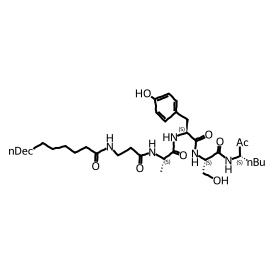 CCCCCCCCCCCCCCCC(=O)NCCC(=O)N[C@@H](C)C(=O)N[C@@H](Cc1ccc(O)cc1)C(=O)N[C@@H](CO)C(=O)N[C@@H](CCCC)C(C)=O